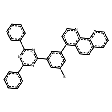 Brc1cc(-c2nc(-c3ccccc3)nc(-c3ccccc3)n2)cc(-c2ccnc3c2ccc2cccnc23)c1